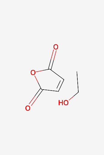 CCO.O=C1C=CC(=O)O1